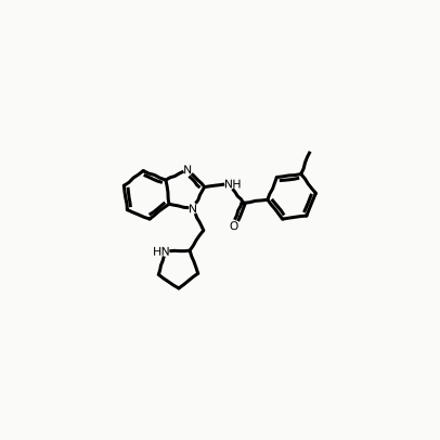 Cc1cccc(C(=O)Nc2nc3ccccc3n2CC2CCCN2)c1